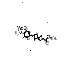 COc1cc(N2CC3(CN(C(=O)OC(C)(C)C)C3)C2)ccc1N